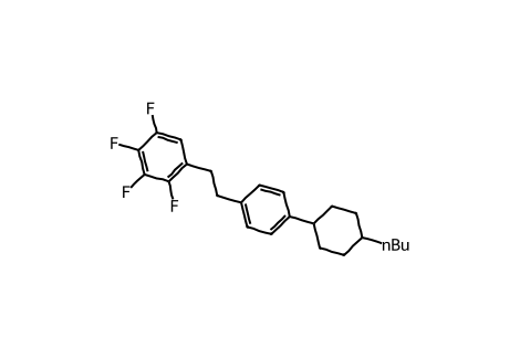 CCCCC1CCC(c2ccc(CCc3cc(F)c(F)c(F)c3F)cc2)CC1